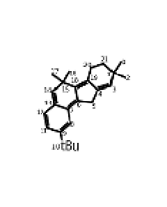 CC1(C)C=C2CC3=c4cc(C(C)(C)C)ccc4=CC(C)(C)C3=C2CC1